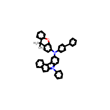 CC1(C)c2ccccc2Oc2cc(N(c3ccc(-c4ccccc4)cc3)c3ccc4c(c3)c3c5ccccc5ccc3n4-c3ccccc3)ccc21